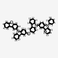 c1ccc(-n2c3ccc(-n4c5ccccc5c5cc(Oc6ccc7c(c6)c6ccccc6n7-c6ccc7oc8ccccc8c7c6)ccc54)cc3c3ncccc32)cc1